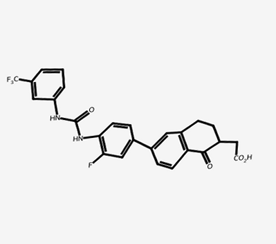 O=C(O)CC1CCc2cc(-c3ccc(NC(=O)Nc4cccc(C(F)(F)F)c4)c(F)c3)ccc2C1=O